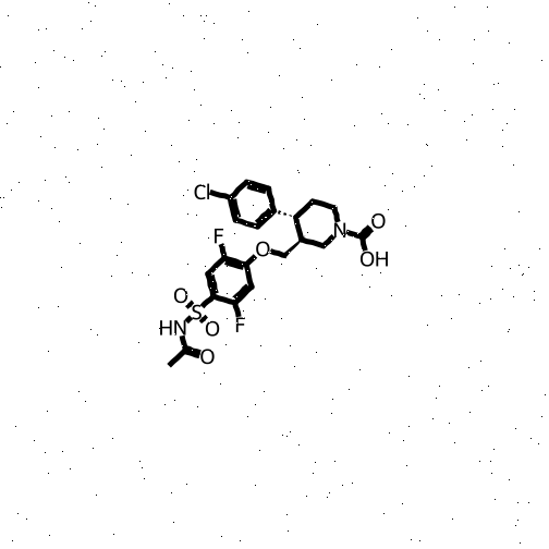 CC(=O)NS(=O)(=O)c1cc(F)c(OC[C@@H]2CN(C(=O)O)CC[C@H]2c2ccc(Cl)cc2)cc1F